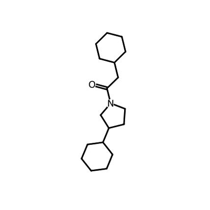 O=C(CC1CCCCC1)N1CCC(C2CCCCC2)C1